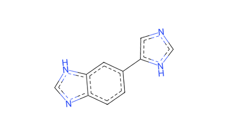 c1ncc(-c2ccc3nc[nH]c3c2)[nH]1